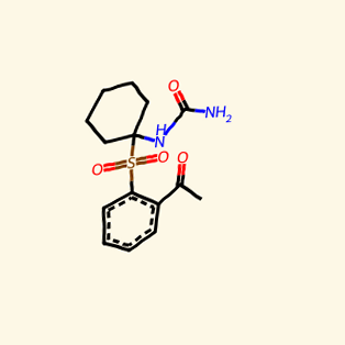 CC(=O)c1ccccc1S(=O)(=O)C1(NC(N)=O)CCCCC1